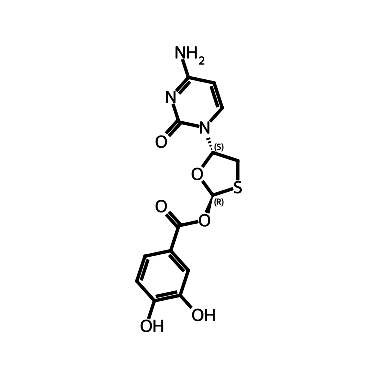 Nc1ccn([C@@H]2CS[C@@H](OC(=O)c3ccc(O)c(O)c3)O2)c(=O)n1